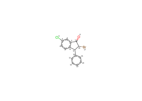 O=C1c2cc(Cl)ccc2C(c2ccccc2)C1Br